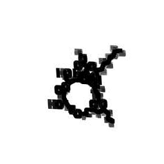 C=CCC1CC2CCOCC[C@@H](O)CC(=O)OC(CO)C[C@@H]3C/C(=C\C(=O)OC)[C@H](OC(=O)CCCCCCC)[C@@](O)(O3)C(C)(C)/C=C/[C@@H](O1)O2